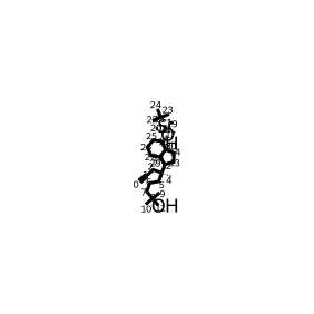 C#CC[C@](C)(CCCC(C)(C)O)C1CC[C@H]2[C@@H](O[Si](C)(C)C(C)(C)C)CCC[C@]12C